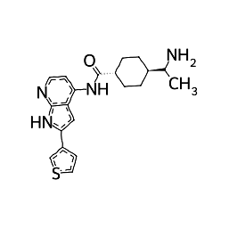 CC(N)[C@H]1CC[C@H](C(=O)Nc2ccnc3[nH]c(-c4ccsc4)cc23)CC1